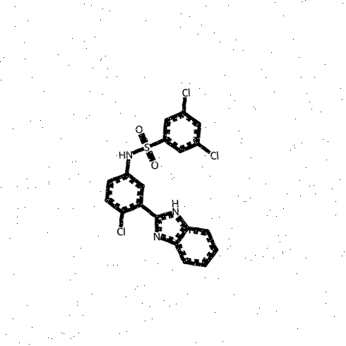 O=S(=O)(Nc1ccc(Cl)c(-c2nc3ccccc3[nH]2)c1)c1cc(Cl)cc(Cl)c1